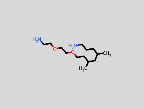 CC(CCCN)CC(C)CCOCCOCCN